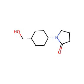 O=C1CCCN1[C@H]1CC[C@@H](CO)CC1